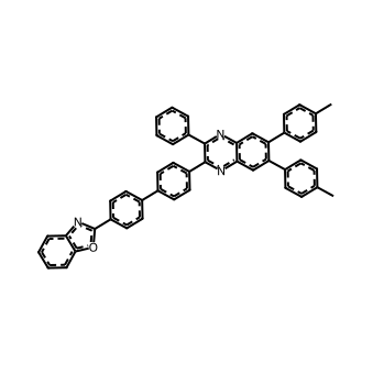 Cc1ccc(-c2cc3nc(-c4ccccc4)c(-c4ccc(-c5ccc(-c6nc7ccccc7o6)cc5)cc4)nc3cc2-c2ccc(C)cc2)cc1